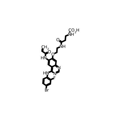 C=CC(=O)Nc1cc2c(Nc3ccc(Br)cc3F)ncnc2cc1OCCNC(=O)CCNC(=O)O